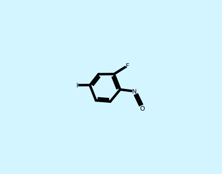 O=Nc1ccc(I)cc1F